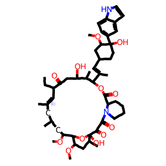 CCC1/C=C(\C)CC(C)CC(OC)C2OC(O)(C(=O)C(=O)N3CCCCC3C(=O)OC(C(C)=CC3CCC(O)(c4ccc5[nH]ccc5c4)C(OC)C3)C(C)C(O)CC1=O)C(C)CC2OC